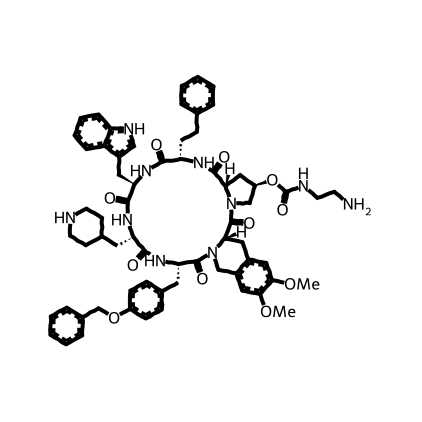 COc1cc2c(cc1OC)CN1C(=O)[C@H](Cc3ccc(OCc4ccccc4)cc3)NC(=O)[C@H](CC3CCNCC3)NC(=O)[C@@H](Cc3c[nH]c4ccccc34)NC(=O)[C@H](CCc3ccccc3)NC(=O)[C@@H]3C[C@@H](OC(=O)NCCN)CN3C(=O)[C@@H]1C2